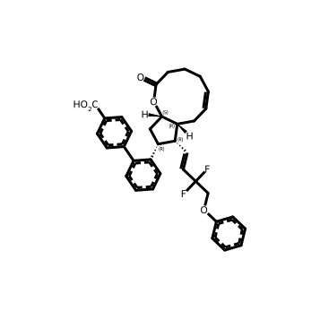 O=C1CCCC=CC[C@@H]2[C@H](C=CC(F)(F)COc3ccccc3)[C@H](c3ccccc3-c3ccc(C(=O)O)cc3)C[C@@H]2O1